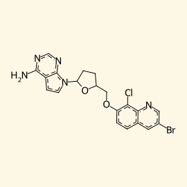 Nc1ncnc2c1ccn2C1CCC(COc2ccc3cc(Br)cnc3c2Cl)O1